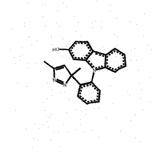 CC1=CC(C)(c2ccccc2-n2c3ccccc3c3ccc(O)cc32)N=N1